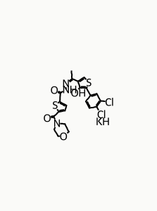 CC(=NNC(=O)c1ccc(C(=O)N2CCOCC2)s1)c1csc(-c2ccc(Cl)c(Cl)c2)c1O.[KH]